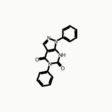 O=c1[nH]c2c(cnn2-c2ccccc2)c(=O)n1-c1ccccc1